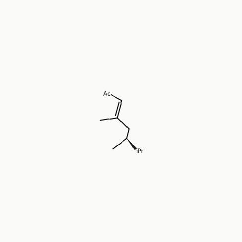 CC(=O)/C=C(\C)C[C@H](C)C(C)C